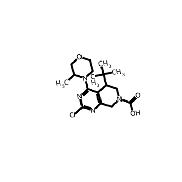 CC1COCCN1c1nc(Cl)nc2c1C(C(C)(C)C)CN(C(=O)O)C2